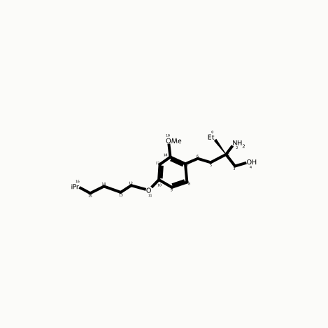 CC[C@@](N)(CO)CCc1ccc(OCCCCC(C)C)cc1OC